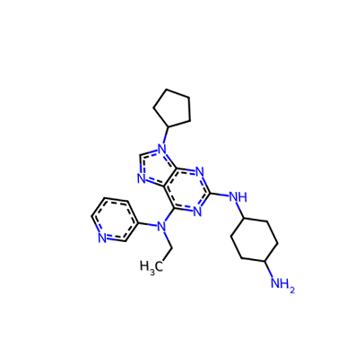 CCN(c1cccnc1)c1nc(NC2CCC(N)CC2)nc2c1ncn2C1CCCC1